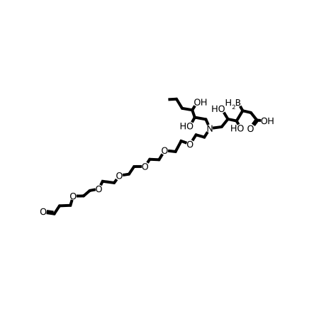 BC(CC(=O)O)C(O)C(O)CN(CCOCCOCCOCCOCCOCCOCCC=O)CC(O)C(O)CCC